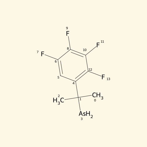 CC(C)([AsH2])c1cc(F)c(F)c(F)c1F